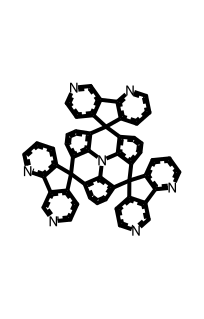 c1cnc2c(c1)C1(c3ccncc3-2)c2cccc3c2N2c4c1cccc4C1(c4ccncc4-c4ncccc41)c1cccc(c12)C31c2ccncc2-c2ncccc21